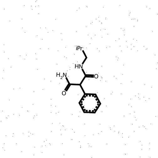 CC(C)CNC(=O)C(C(N)=O)c1ccccc1